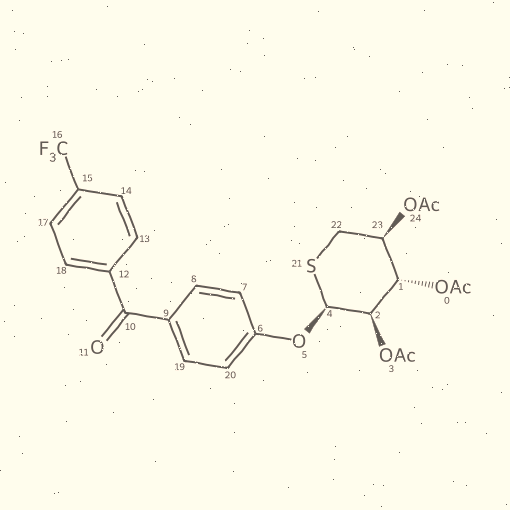 CC(=O)O[C@@H]1[C@@H](OC(C)=O)[C@@H](Oc2ccc(C(=O)c3ccc(C(F)(F)F)cc3)cc2)SC[C@H]1OC(C)=O